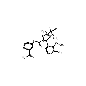 COc1c([C@H]2[C@@H](C(=O)Nc3ccnc(C(N)=O)c3)O[C@](C)(C(F)(F)F)[C@@H]2C)ccnc1C